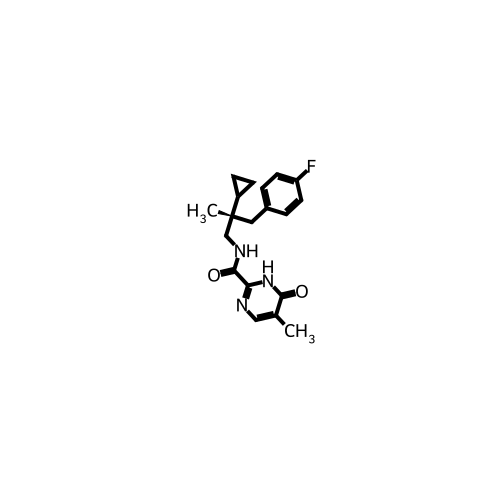 Cc1cnc(C(=O)NC[C@@](C)(Cc2ccc(F)cc2)C2CC2)[nH]c1=O